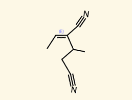 C/C=C(/C#N)C(C)CC#N